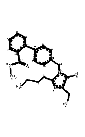 CCCCc1nc(CO)c(Cl)n1Cc1ccc(-c2ccccc2C(=O)OC)cc1